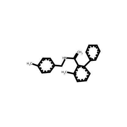 C=C(NCc1ccc(C)cc1)c1c(C)cccc1-c1ccccc1